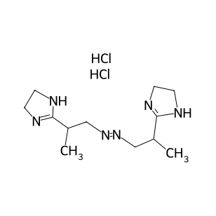 CC(CN=NCC(C)C1=NCCN1)C1=NCCN1.Cl.Cl